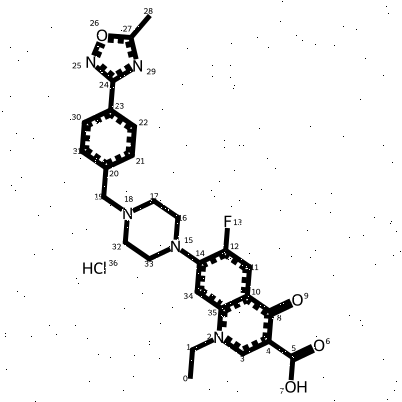 CCn1cc(C(=O)O)c(=O)c2cc(F)c(N3CCN(Cc4ccc(-c5noc(C)n5)cc4)CC3)cc21.Cl